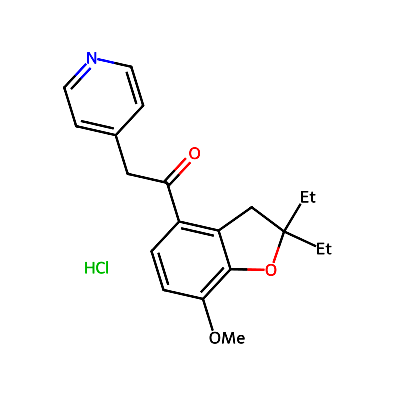 CCC1(CC)Cc2c(C(=O)Cc3ccncc3)ccc(OC)c2O1.Cl